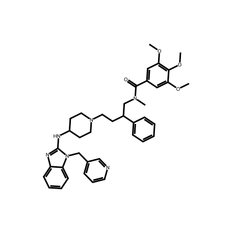 COc1cc(C(=O)N(C)CC(CCN2CCC(Nc3nc4ccccc4n3Cc3cccnc3)CC2)c2ccccc2)cc(OC)c1OC